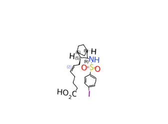 O=C(O)CCC/C=C\C[C@H]1[C@H]2CC[C@H](C2)[C@H]1NS(=O)(=O)c1ccc(I)cc1